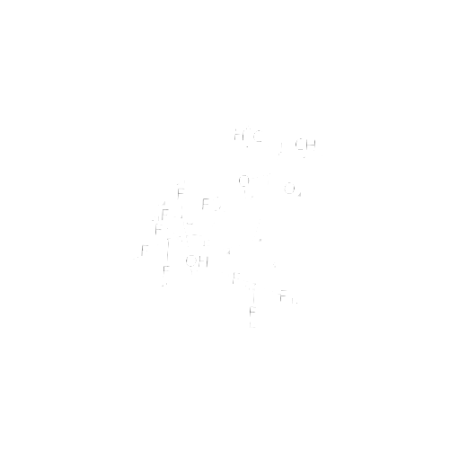 C=C(C)C(=O)OC1CC(CC(F)(F)F)CC(C(O)(C(F)(F)F)C(F)(F)F)C1